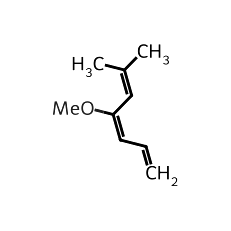 C=C/C=C(\C=C(C)C)OC